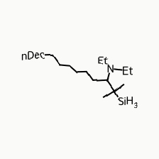 CCCCCCCCCCCCCCCCC(N(CC)CC)C(C)(C)[SiH3]